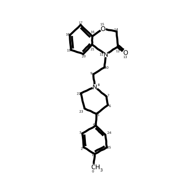 Cc1ccc(C2CCN(CCN3C(=O)COc4ccccc43)CC2)cc1